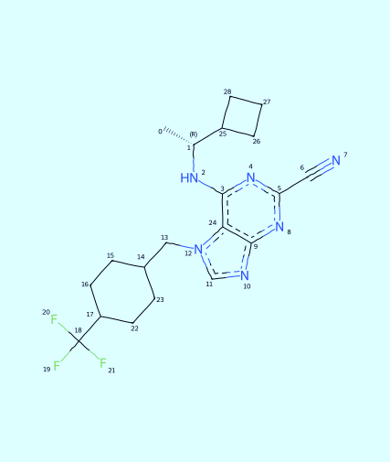 C[C@@H](Nc1nc(C#N)nc2ncn(CC3CCC(C(F)(F)F)CC3)c12)C1CCC1